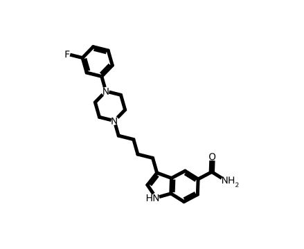 NC(=O)c1ccc2[nH]cc(CCCCN3CCN(c4cccc(F)c4)CC3)c2c1